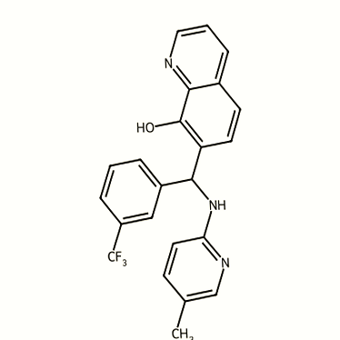 Cc1ccc(NC(c2cccc(C(F)(F)F)c2)c2ccc3cccnc3c2O)nc1